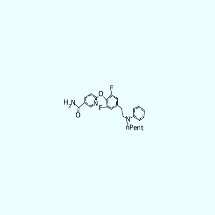 CCCCCN(CCc1cc(F)c(Oc2ccc(C(N)=O)cn2)c(F)c1)c1ccccc1